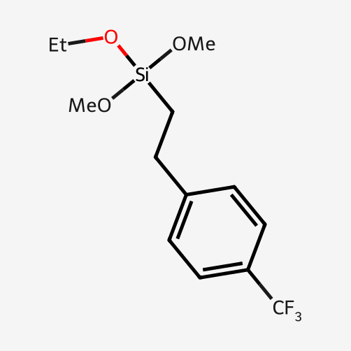 CCO[Si](CCc1ccc(C(F)(F)F)cc1)(OC)OC